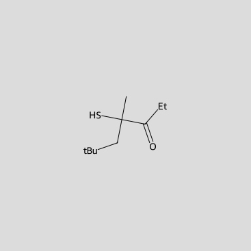 CCC(=O)C(C)(S)CC(C)(C)C